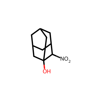 O=[N+]([O-])C1C2CC3CC(C2)CC1(O)C3